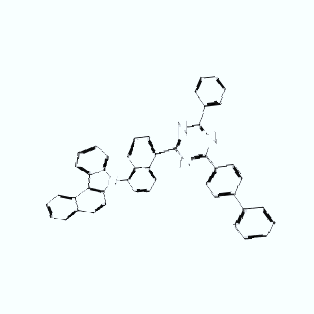 c1ccc(-c2ccc(-c3nc(-c4ccccc4)nc(-c4cccc5c(-n6c7ccccc7c7c8ccccc8ccc76)cccc45)n3)cc2)cc1